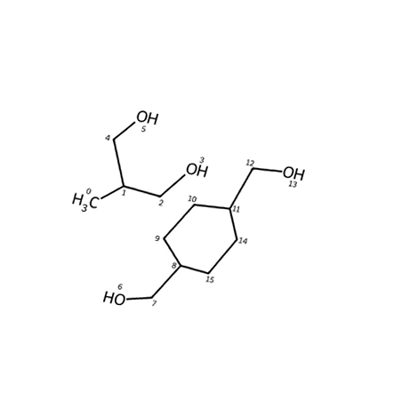 CC(CO)CO.OCC1CCC(CO)CC1